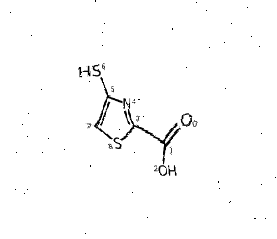 O=C(O)c1nc(S)cs1